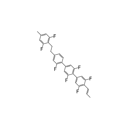 C/C=C/c1c(F)cc(-c2c(F)cc(-c3ccc(CCc4c(F)cc(C)cc4F)cc3F)cc2F)cc1F